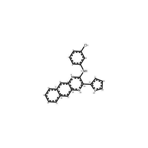 Clc1cccc(Nc2nc3cc4ccccc4cc3nc2-c2cccs2)c1